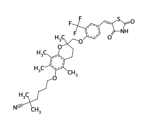 Cc1c(C)c2c(c(C)c1OCCCCC(C)(C)C#N)CCC(C)(COc1ccc(/C=C3/SC(=O)NC3=O)cc1C(F)(F)F)O2